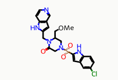 COCC1CN(S(=O)(=O)c2cc3cc(Cl)ccc3[nH]2)CC(=O)N1Cc1cc2cnccc2[nH]1